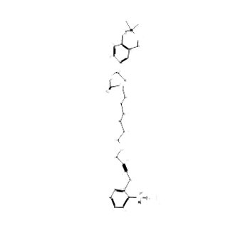 CC1(C)OCc2cc([C@@H]3CN(CCCCCCOCC#CCc4ccccc4S(N)(=O)=O)C(=O)O3)ccc2O1